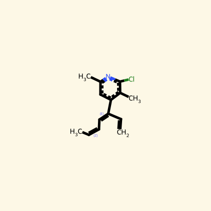 C=C/C(=C\C=C/C)c1cc(C)nc(Cl)c1C